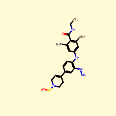 COc1cc(Nc2ccc(C3=CCN(SO)CC3)cc2NN)cc(OC)c1C(=O)NCC(F)(F)F